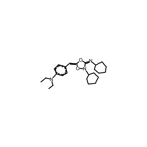 CCN(CC)c1ccc(/C=C2/O/C(=N/C3CCCCC3)N(C3CCCCC3)O2)cc1